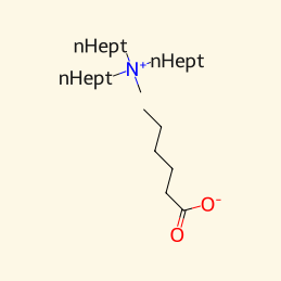 CCCCCC(=O)[O-].CCCCCCC[N+](C)(CCCCCCC)CCCCCCC